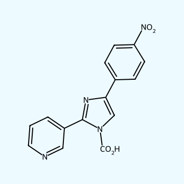 O=C(O)n1cc(-c2ccc([N+](=O)[O-])cc2)nc1-c1cccnc1